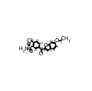 CCOc1ccc2cc(C(=O)c3ccc(Cl)c(S(N)(=O)=O)c3)oc2c1